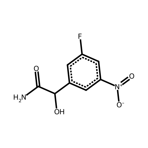 NC(=O)C(O)c1cc(F)cc([N+](=O)[O-])c1